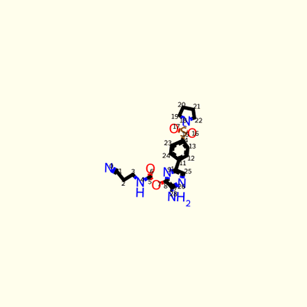 N#CCCNC(=O)Oc1nc(-c2ccc(S(=O)(=O)N3CCCC3)cc2)cnc1N